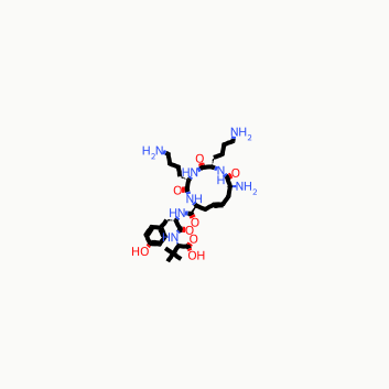 CC(C)(C)[C@H](NC(=O)[C@H](Cc1ccc(O)cc1)NC(=O)[C@@H]1C/C=C/C[C@H](N)C(=O)N[C@@H](CCCCN)C(=O)N[C@@H](CCCCN)C(=O)N1)C(=O)O